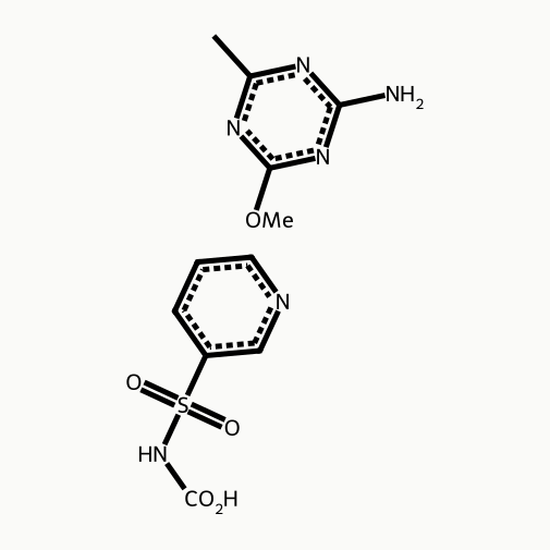 COc1nc(C)nc(N)n1.O=C(O)NS(=O)(=O)c1cccnc1